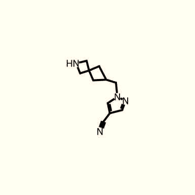 N#Cc1cnn(CC2CC3(CNC3)C2)c1